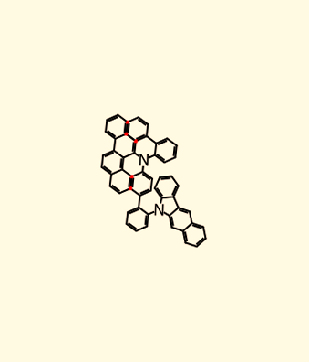 c1ccc(-c2ccccc2N(c2ccc(-c3ccccc3-n3c4ccccc4c4cc5ccccc5cc43)cc2)c2cc3ccccc3c3ccc4ccccc4c23)cc1